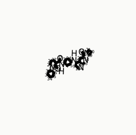 O=C(Nc1ccc(Nc2ccnc3cnc(C(=O)N4CCC4)cc23)cc1)c1cccn(-c2ccccc2)c1=O